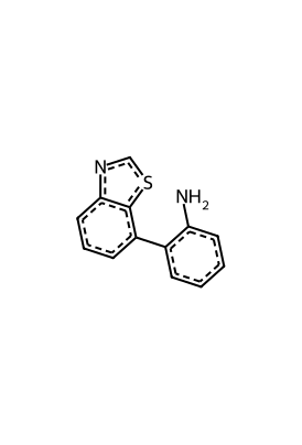 Nc1ccccc1-c1cccc2ncsc12